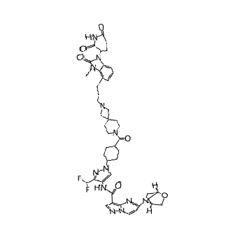 Cn1c(=O)n(C2CCC(=O)NC2=O)c2cccc(CCCN3CC4(CCN(C(=O)C5CCC(n6cc(NC(=O)c7cnn8ccc(N9C[C@H]%10C[C@@H]9CO%10)nc78)c(C(F)F)n6)CC5)CC4)C3)c21